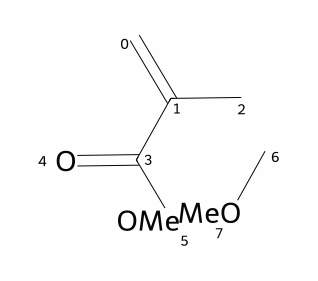 C=C(C)C(=O)OC.COC